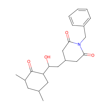 CC1CC(C)C(=O)C(C(O)CC2CC(=O)N(Cc3ccccc3)C(=O)C2)C1